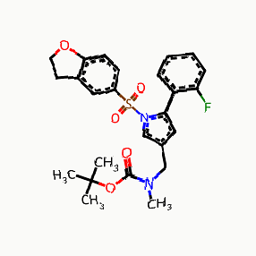 CN(Cc1cc(-c2ccccc2F)n(S(=O)(=O)c2ccc3c(c2)CCO3)c1)C(=O)OC(C)(C)C